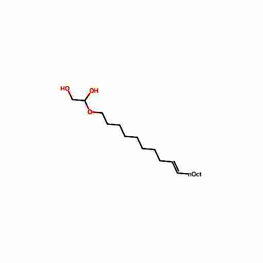 CCCCCCCCC=CCCCCCCCCOC(O)CO